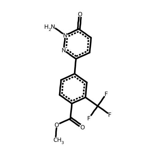 COC(=O)c1ccc(-c2ccc(=O)n(N)n2)cc1C(F)(F)F